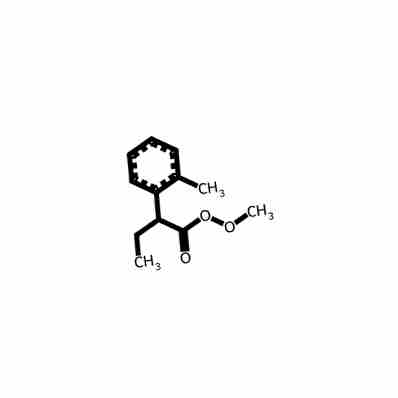 CCC(C(=O)OOC)c1ccccc1C